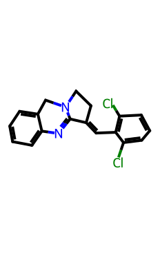 Clc1cccc(Cl)c1/C=C1\CCN2Cc3ccccc3N=C12